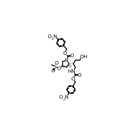 CS(=O)(=O)O[C@@H]1C[C@@H](C(CCO)CNC(=O)OCc2ccc([N+](=O)[O-])cc2)N(C(=O)OCc2ccc([N+](=O)[O-])cc2)C1